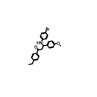 CCc1ccc(C(=O)CC(Nc2ccc(Br)cc2)c2ccc(OC)cc2)cc1